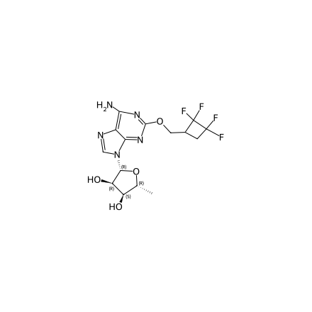 C[C@H]1O[C@@H](n2cnc3c(N)nc(OCC4CC(F)(F)C4(F)F)nc32)[C@H](O)[C@@H]1O